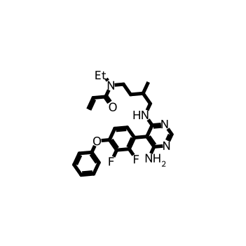 C=CC(=O)N(CC)CCC(C)CNc1ncnc(N)c1-c1ccc(Oc2ccccc2)c(F)c1F